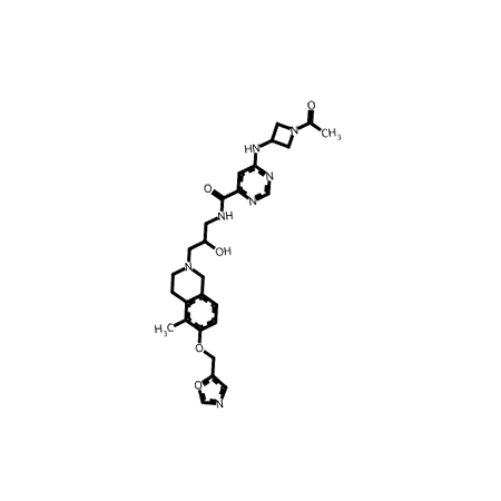 CC(=O)N1CC(Nc2cc(C(=O)NCC(O)CN3CCc4c(ccc(OCc5cnco5)c4C)C3)ncn2)C1